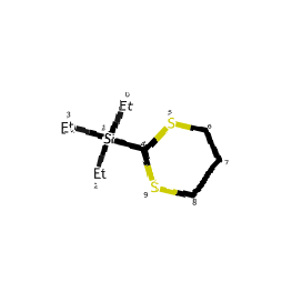 CC[Si](CC)(CC)C1SCCCS1